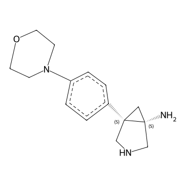 N[C@]12CNC[C@@]1(c1ccc(N3CCOCC3)cc1)C2